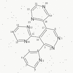 [c]1nnc(-c2ccccn2)c(-c2ncccn2)c1-c1cnccn1